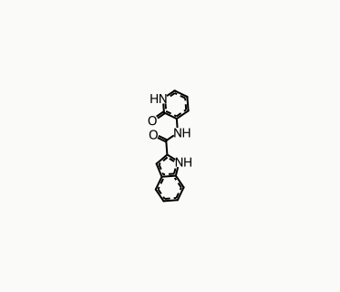 O=C(Nc1ccc[nH]c1=O)c1cc2ccccc2[nH]1